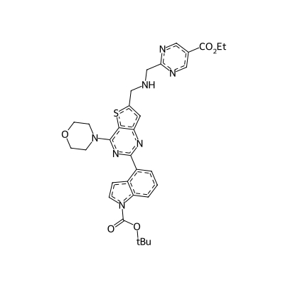 CCOC(=O)c1cnc(CNCc2cc3nc(-c4cccc5c4ccn5C(=O)OC(C)(C)C)nc(N4CCOCC4)c3s2)nc1